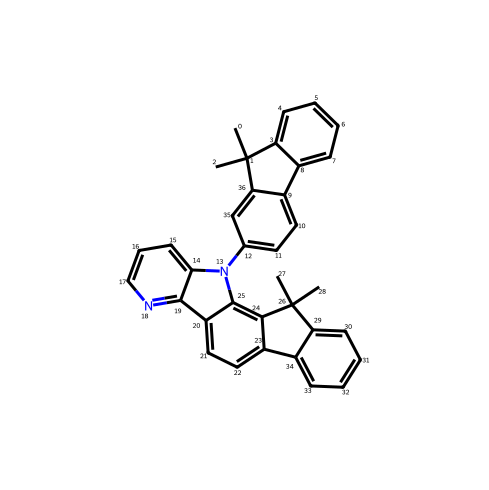 CC1(C)c2ccccc2-c2ccc(-n3c4cccnc4c4ccc5c(c43)C(C)(C)c3ccccc3-5)cc21